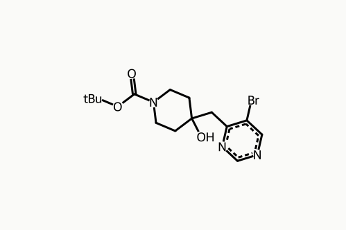 CC(C)(C)OC(=O)N1CCC(O)(Cc2ncncc2Br)CC1